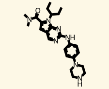 CCC(CC)n1c(C(=O)N(C)C)cc2cnc(Nc3ccc(N4CCNCC4)cc3)nc21